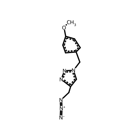 COc1ccc(Cn2cc(CN=[N+]=[N-])nn2)cc1